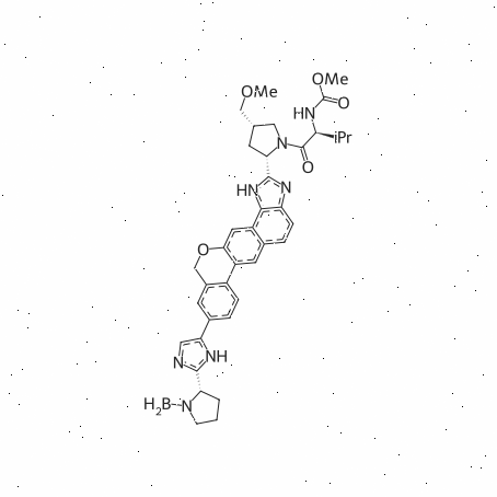 BN1CCC[C@H]1c1ncc(-c2ccc3c(c2)COc2cc4c(ccc5nc([C@@H]6C[C@H](COC)CN6C(=O)[C@@H](NC(=O)OC)C(C)C)[nH]c54)cc2-3)[nH]1